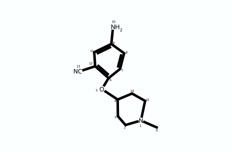 CN1CCC(Oc2ccc(N)cc2C#N)CC1